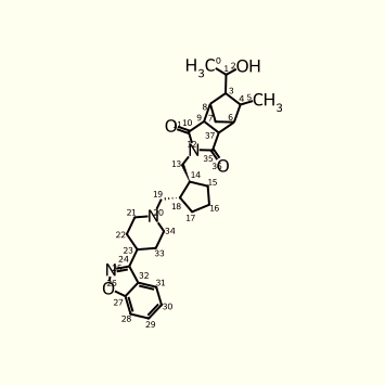 CC(O)C1C(C)C2CC1C1C(=O)N(C[C@H]3CCC[C@@H]3CN3CCC(c4noc5ccccc45)CC3)C(=O)C21